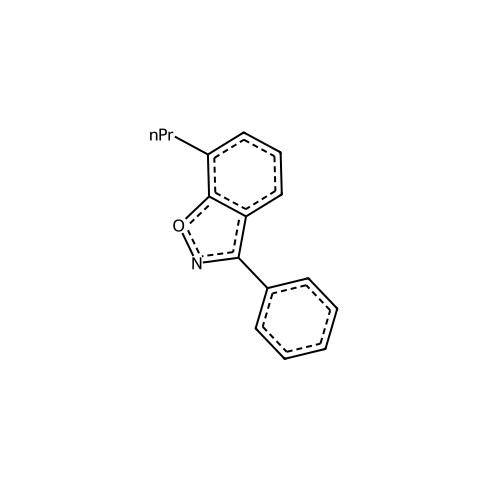 CCCc1cccc2c(-c3ccccc3)noc12